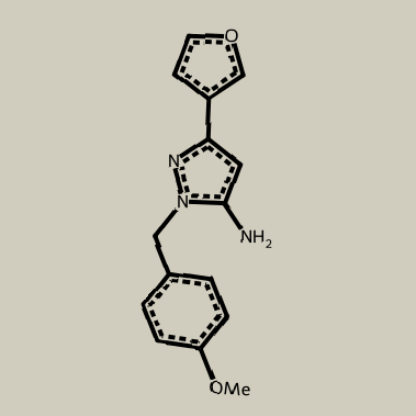 COc1ccc(Cn2nc(-c3ccoc3)cc2N)cc1